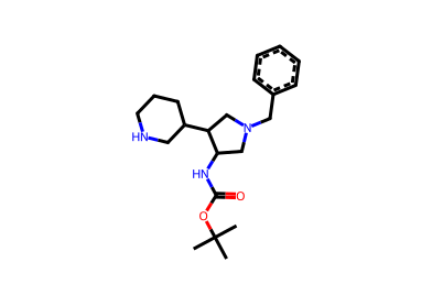 CC(C)(C)OC(=O)NC1CN(Cc2ccccc2)CC1C1CCCNC1